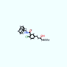 CNC[C@H](O)CCc1ccc(Cl)c(C(=O)NCC23CC4CC(CC(C4)C2)C3)c1